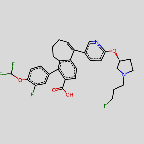 O=C(O)c1ccc2c(c1-c1ccc(OC(F)F)c(F)c1)CCCC=C2c1ccc(O[C@H]2CCN(CCCF)C2)nc1